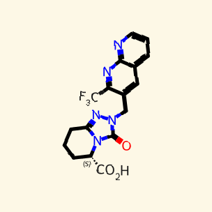 O=C(O)[C@@H]1CCCc2nn(Cc3cc4cccnc4nc3C(F)(F)F)c(=O)n21